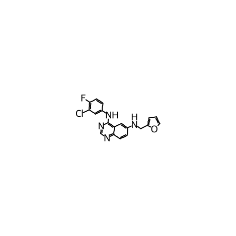 Fc1ccc(Nc2ncnc3ccc(NCc4ccco4)cc23)cc1Cl